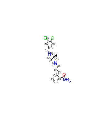 NC(=O)c1ccccc1[CH]CCN1CC2CN(Cc3ccc(Cl)c(Cl)c3)C[C@@H]2C1